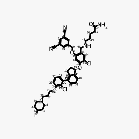 N#Cc1cc(C#N)cc(COc2cc(O[C@H]3CCc4c(-c5cccc(OCCCN6CCC(F)CC6)c5Cl)cccc43)c(Cl)cc2CNCCCCC(N)=O)c1